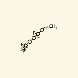 CCCCCC1CCC(c2cc(F)c(C3=CCC(C4CCC(c5cc(F)c(OC(F)(F)F)c(F)c5)CC4)CC3)c(F)c2)CC1